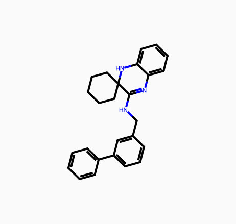 c1ccc(-c2cccc(CNC3=Nc4ccccc4NC34CCCCC4)c2)cc1